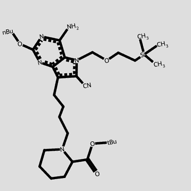 CCCCOc1nc(N)c2c(n1)c(CCCCN1CCCCC1C(=O)OC(C)(C)C)c(C#N)n2COCC[Si](C)(C)C